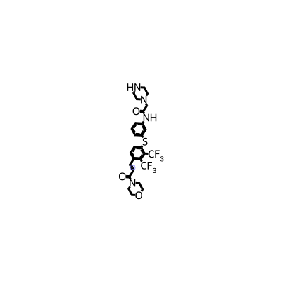 O=C(CN1CCNCC1)Nc1cccc(Sc2ccc(/C=C/C(=O)N3CCOCC3)c(C(F)(F)F)c2C(F)(F)F)c1